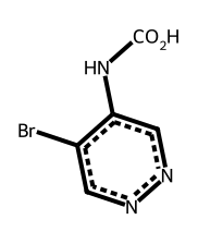 O=C(O)Nc1cnncc1Br